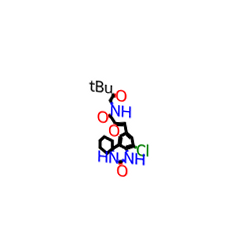 CC(C)(C)C(=O)CNC(=O)c1cc2cc(Cl)c3c(c2o1)C1(CCCCC1)NC(=O)N3